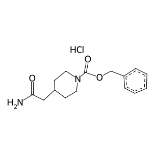 Cl.NC(=O)CC1CCN(C(=O)OCc2ccccc2)CC1